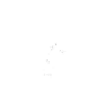 CC(C)(C)OC(=O)N1CCC[C@H]2C1c1ccccc1N[C@@H]2c1ccccc1